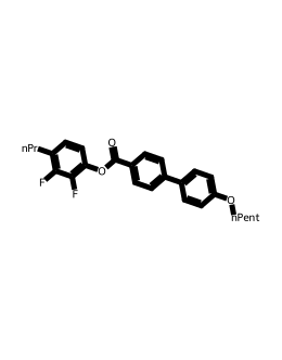 CCCCCOc1ccc(-c2ccc(C(=O)Oc3ccc(CCC)c(F)c3F)cc2)cc1